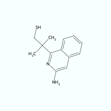 CC(C)(CS)c1nc(N)cc2ccccc12